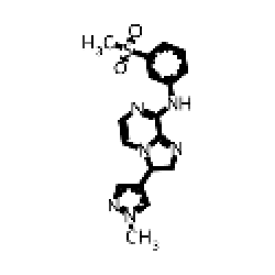 Cn1cc(C2CN=C3C(Nc4cccc(S(C)(=O)=O)c4)=NC=CN32)cn1